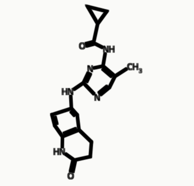 Cc1cnc(Nc2ccc3c(c2)CCC(=O)N3)nc1NC(=O)C1CC1